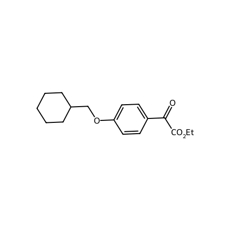 CCOC(=O)C(=O)c1ccc(OCC2CCCCC2)cc1